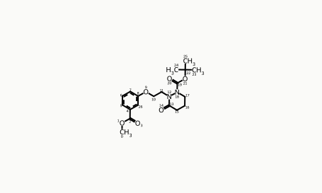 COC(=O)c1cccc(OCCN2C(=O)CCCN2C(=O)OC(C)(C)C)c1